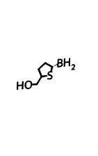 B[C@H]1CCC(CO)S1